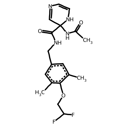 CC(=O)NC1(C(=O)NCc2cc(C)c(OCC(F)F)c(C)c2)C=NC=CN1